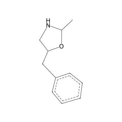 CC1NCC(Cc2ccccc2)O1